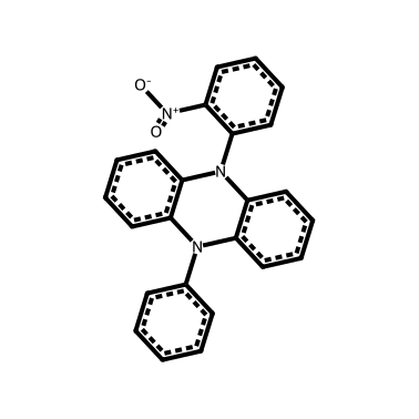 O=[N+]([O-])c1ccccc1N1c2ccccc2N(c2ccccc2)c2ccccc21